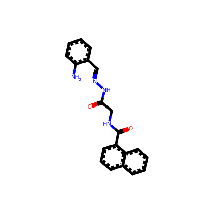 Nc1ccccc1/C=N/NC(=O)CNC(=O)c1cccc2ccccc12